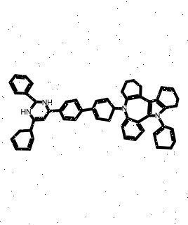 C1=CCC(C2=CC(c3ccc(C4=CCC(N5C6=C(CCCC6)c6c7c(n(C8=CCCC=C8)c6-c6ccccc65)CCC=C7)C=C4)cc3)NC(c3ccccc3)N2)C=C1